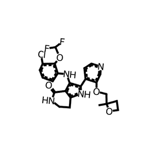 CC1(COc2cnccc2-c2[nH]c3c(c2Nc2cccc(Cl)c2OC(F)F)C(=O)NCC3)CCO1